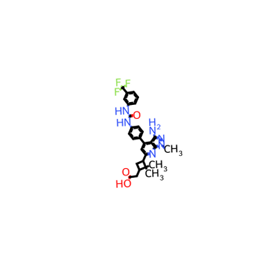 Cn1nc(N)c2c(-c3ccc(NC(=O)Nc4cccc(C(F)(F)F)c4)cc3)cc(C3CC(CC(=O)O)C3(C)C)nc21